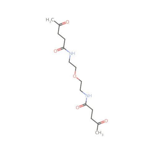 CC(=O)CCC(=O)NCCOCCNC(=O)CCC(C)=O